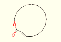 O=C1/C=C/CCCCCCCCCCCCCO1